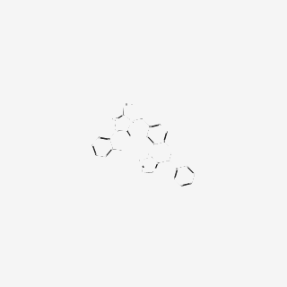 CCCCc1nn(-c2ccccc2C)c(=O)n1Cc1ccc(OC(c2ccccc2)c2nnn[nH]2)cc1